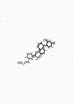 CC(Oc1ccc2c(-c3ccc(F)cc3Cl)ccnc2n1)C(=O)N1CCC[C@H](CC(=O)O)C1